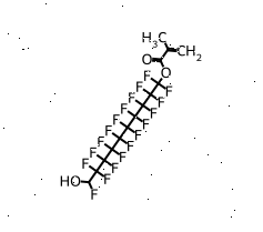 C=C(C)C(=O)OC(F)(F)C(F)(F)C(F)(F)C(F)(F)C(F)(F)C(F)(F)C(F)(F)C(F)(F)C(F)(F)C(O)F